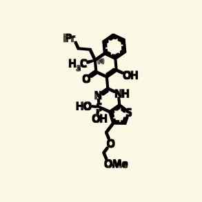 COCOCc1csc2c1S(O)(O)N=C(C1=C(O)c3ccccc3[C@@](C)(CCC(C)C)C1=O)N2